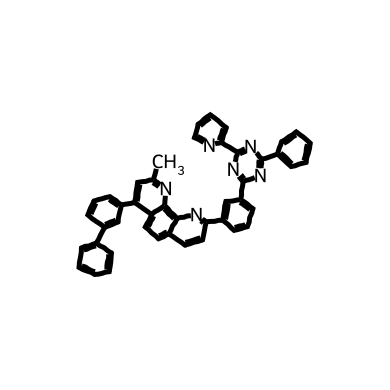 Cc1cc(-c2cccc(-c3ccccc3)c2)c2ccc3ccc(-c4cccc(-c5nc(-c6ccccc6)nc(-c6ccccn6)n5)c4)nc3c2n1